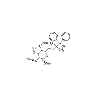 CCCCOC1C(CCC(C)(C)[Si](O)(c2ccccc2)c2ccccc2)O[C@@H](SC)C(N=[N+]=[N-])C1OCCCC